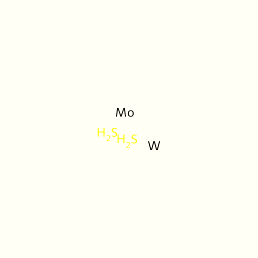 S.S.[Mo].[W]